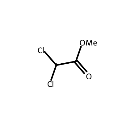 COC(=O)[C](Cl)Cl